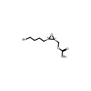 CCCCC(=O)OC[C@@H]1O[C@@H]1CCCCC(C)C